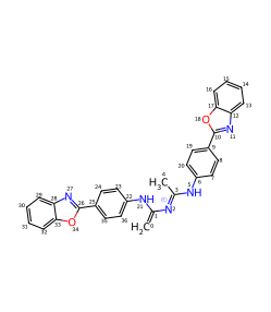 C=C(/N=C(\C)Nc1ccc(-c2nc3ccccc3o2)cc1)Nc1ccc(-c2nc3ccccc3o2)cc1